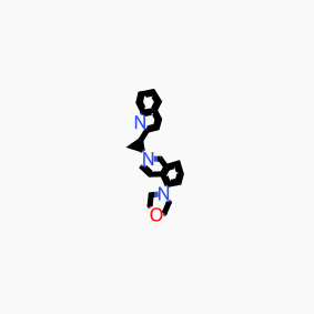 C1=CN(C2CC2c2ccc3ccccc3n2)Cc2cccc(N3CCOCC3)c21